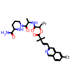 CCc1ccc2cnc(/C=C/C(C)(C)C(=O)OC(C(=O)NC(C)C(=O)N3CCCC(C(N)=O)N3)C(C)C)cc2c1